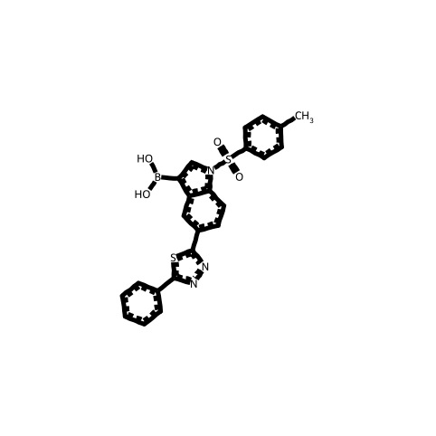 Cc1ccc(S(=O)(=O)n2cc(B(O)O)c3cc(-c4nnc(-c5ccccc5)s4)ccc32)cc1